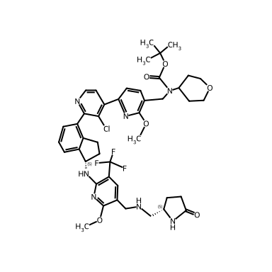 COc1nc(-c2ccnc(-c3cccc4c3CC[C@@H]4Nc3nc(OC)c(CNC[C@@H]4CCC(=O)N4)cc3C(F)(F)F)c2Cl)ccc1CN(C(=O)OC(C)(C)C)C1CCOCC1